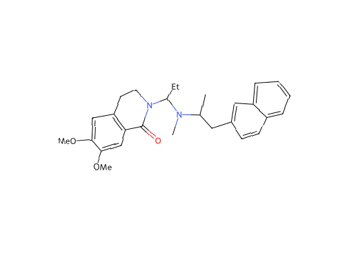 CCC(N1CCc2cc(OC)c(OC)cc2C1=O)N(C)C(C)Cc1ccc2ccccc2c1